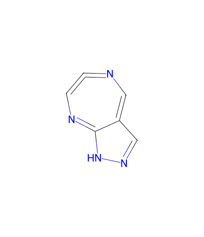 C1=CN=c2[nH]ncc2=CN=1